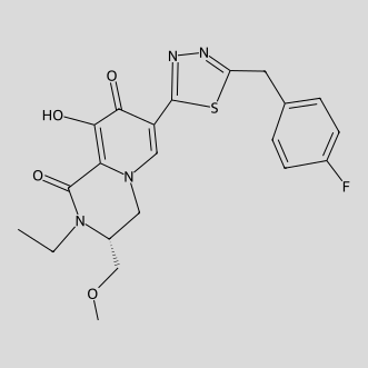 CCN1C(=O)c2c(O)c(=O)c(-c3nnc(Cc4ccc(F)cc4)s3)cn2C[C@@H]1COC